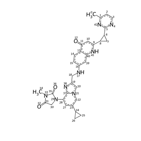 Cc1ccnc(C2CC2c2cc(=O)c3ccc(NCc4cn5cc(C6CC6)cc(N6CC(=O)N(C)C6=O)c5n4)cc3[nH]2)n1